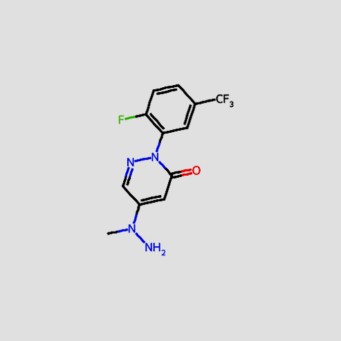 CN(N)c1cnn(-c2cc(C(F)(F)F)ccc2F)c(=O)c1